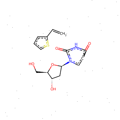 C=Cc1cccs1.O=c1ccn([C@H]2C[C@H](O)[C@@H](CO)O2)c(=O)[nH]1